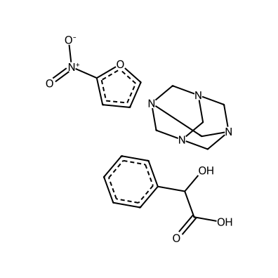 C1N2CN3CN1CN(C2)C3.O=C(O)C(O)c1ccccc1.O=[N+]([O-])c1ccco1